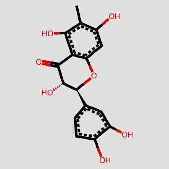 Cc1c(O)cc2c(c1O)C(=O)[C@@H](O)[C@H](c1ccc(O)c(O)c1)O2